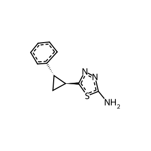 Nc1nnc([C@H]2C[C@@H]2c2ccccc2)s1